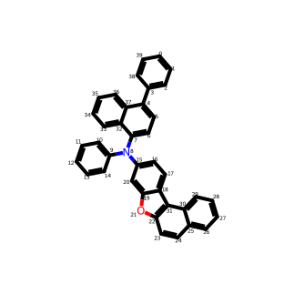 c1ccc(-c2ccc(N(c3ccccc3)c3ccc4c(c3)oc3ccc5ccccc5c34)c3ccccc23)cc1